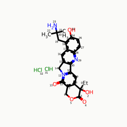 CCC1(O)C(=O)OCc2c1cc1n(c2=O)Cc2cc3c(CC(C)(C)N)c(O)ccc3nc2-1.Cl.Cl